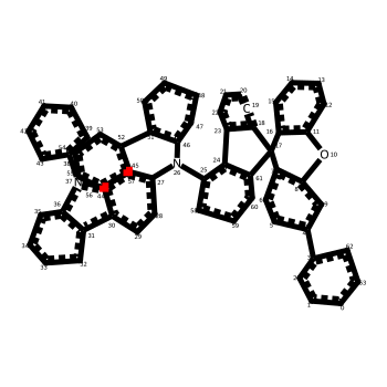 c1ccc(-c2ccc3c(c2)Oc2ccccc2C32c3ccccc3-c3c(N(c4ccc5c6ccccc6n(-c6ccccc6)c5c4)c4ccccc4-c4ccccc4)cccc32)cc1